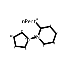 CCCCCC1CCCCN1N1CCCC1